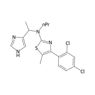 CCCN(c1nc(-c2ccc(Cl)cc2Cl)c(C)s1)C(C)c1c[nH]cn1